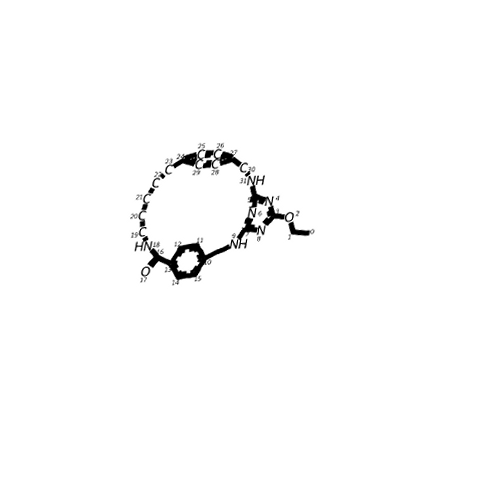 CCOc1nc2nc(n1)Nc1ccc(cc1)C(=O)NCCCCCc1ccc(cc1)CN2